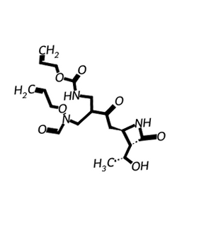 C=CCOC(=O)NCC(CN(C=O)OCC=C)C(=O)C[C@H]1NC(=O)[C@@H]1[C@@H](C)O